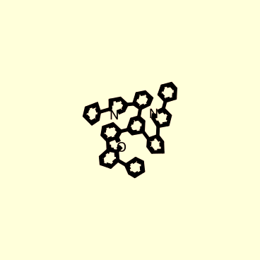 c1ccc(-c2ccc(-c3ccccc3-c3cc(-c4ccccc4-c4ccc(-c5ccccc5)nc4)cc(-c4cccc5c4oc4c(-c6ccccc6)cccc45)c3)cn2)cc1